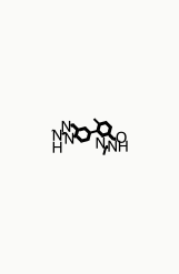 CNc1ncc2cc(-c3c(C)ccc4c(=O)[nH]c(C)nc34)ccc2n1